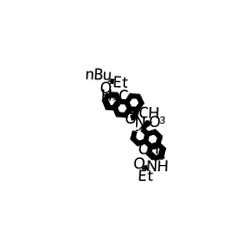 CCCCC(CC)Oc1ccc2c(c1)[C@@]1(C)CCC[C@](C)(C(=O)N3C(=O)[C@]34CCC[C@]3(C)c5cc(NC(=O)CC)ccc5CCC43)[C@@H]1CC2